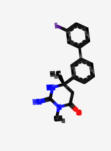 CN1C(=N)N[C@](C)(c2cccc(-c3cccc(I)c3)c2)CC1=O